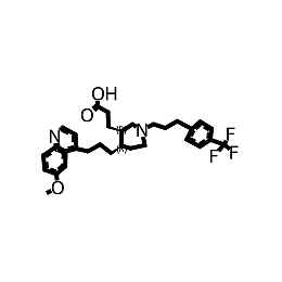 COc1ccc2nccc(CCC[C@@H]3CCN(CCCc4ccc(C(F)(F)F)cc4)C[C@@H]3CCC(=O)O)c2c1